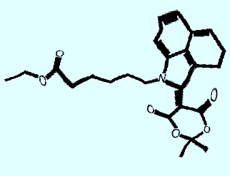 CCOC(=O)CCCCCn1c(=C2C(=O)OC(C)(C)OC2=O)c2c3c(cccc31)=CCC2